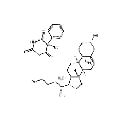 CC(C)CCC[C@@H](C)[C@H]1CC[C@H]2[C@@H]3CC=C4C[C@@H](O)CC[C@]4(C)[C@H]3CC[C@]12C.CCC1(c2ccccc2)C(=O)NC(=O)NC1=O